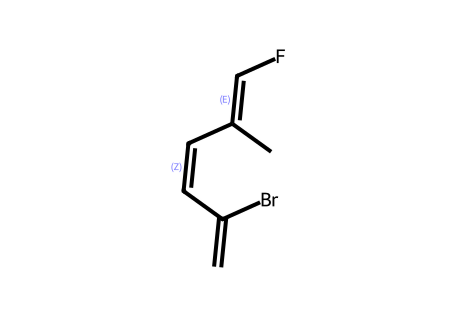 C=C(Br)/C=C\C(C)=C\F